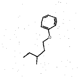 CCC(C)CCOc1ccccc1